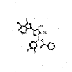 O=C(O[C@H](c1ccc(F)c(F)c1)[C@H]1O[C@@H](n2cc(I)c3c(Cl)ncnc32)[C@H](O)[C@@H]1O)c1ccccc1